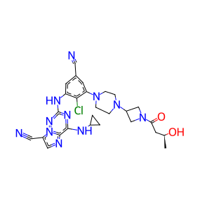 C[C@H](O)CC(=O)N1CC(N2CCN(c3cc(C#N)cc(Nc4nc(NC5CC5)c5ncc(C#N)n5n4)c3Cl)CC2)C1